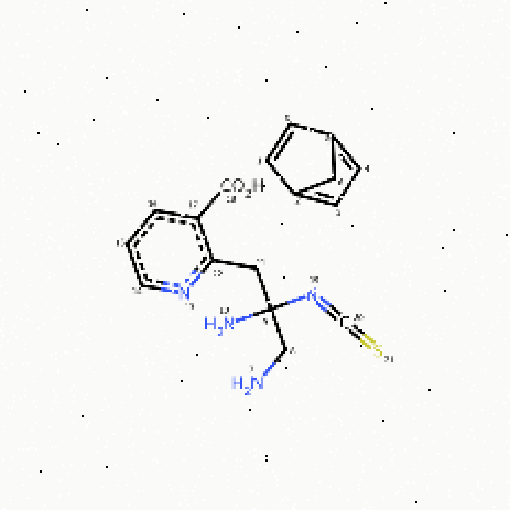 C1=CC2=CC=C1C2.NCC(N)(Cc1ncccc1C(=O)O)N=C=S